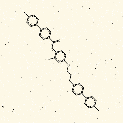 Cc1ccc(-c2ccc(COCOc3ccc(OC(=O)c4ccc(-c5ccc(C)cc5)cc4)c(C)c3)cc2)cc1